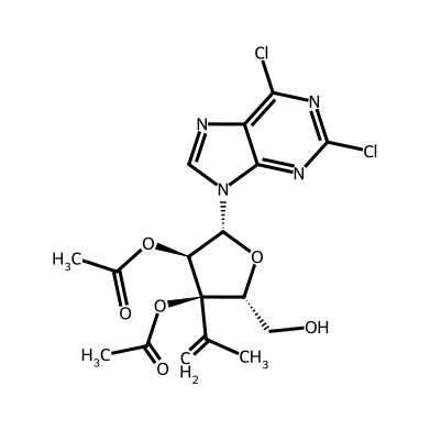 C=C(C)[C@@]1(OC(C)=O)[C@@H](CO)O[C@@H](n2cnc3c(Cl)nc(Cl)nc32)[C@@H]1OC(C)=O